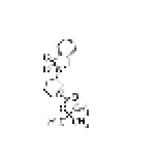 CC(C)(C)OC(=O)N1CCCC(N2Cc3ccccc3S2(=O)=O)C1